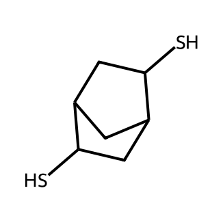 SC1CC2CC1CC2S